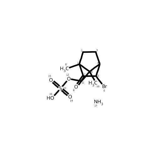 CC12CCC(C(Br)C1=O)C2(C)COS(=O)(=O)O.N